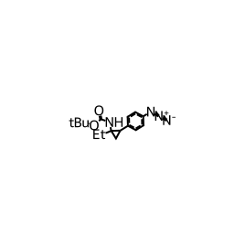 CCC1(NC(=O)OC(C)(C)C)CC1c1ccc(N=[N+]=[N-])cc1